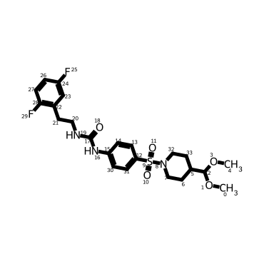 COC(OC)C1CCN(S(=O)(=O)c2ccc(NC(=O)NCCc3cc(F)ccc3F)cc2)CC1